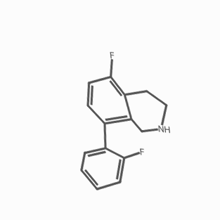 Fc1ccccc1-c1ccc(F)c2c1CNCC2